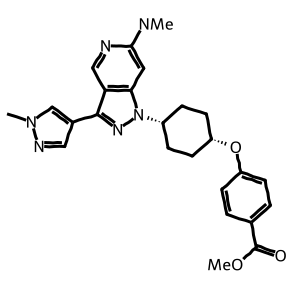 CNc1cc2c(cn1)c(-c1cnn(C)c1)nn2[C@H]1CC[C@@H](Oc2ccc(C(=O)OC)cc2)CC1